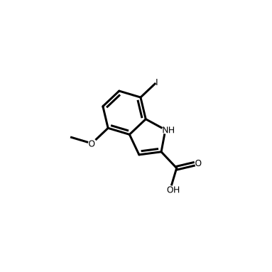 COc1ccc(I)c2[nH]c(C(=O)O)cc12